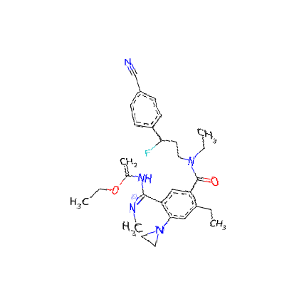 C=C(N/C(=N/C)c1cc(C(=O)N(CC)CCC(F)c2ccc(C#N)cc2)c(CC)cc1N1CC1)OCC